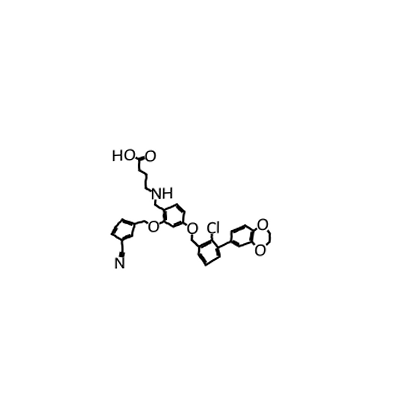 N#Cc1cccc(COc2cc(OCc3cccc(-c4ccc5c(c4)OCCO5)c3Cl)ccc2CNCCCC(=O)O)c1